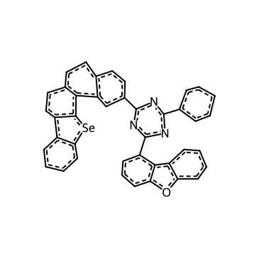 c1ccc(-c2nc(-c3ccc4ccc5ccc6c7ccccc7[se]c6c5c4c3)nc(-c3cccc4oc5ccccc5c34)n2)cc1